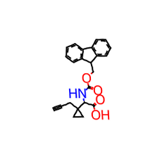 C#CCC1([C@@H](NC(=O)OCC2c3ccccc3-c3ccccc32)C(=O)O)CC1